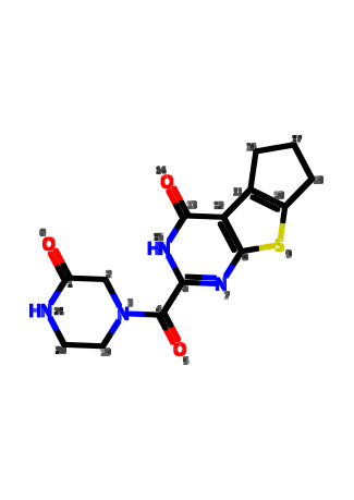 O=C1CN(C(=O)c2nc3sc4c(c3c(=O)[nH]2)CCC4)CCN1